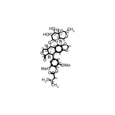 COc1cc(C2c3cc4c(cc3[C@@H](O[C@@H]3O[C@@H]5CO[C@@H](C)O[C@H]5[C@H](O)[C@H]3O)[C@H]3COC(=O)[C@H]23)OCO4)cc(OC)c1OC(=O)CN(C)C